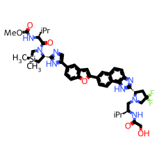 COC(=O)N[C@H](C(=O)N1C[Si](C)(C)C[C@H]1c1ncc(-c2ccc3oc(-c4ccc5c(ccc6nc([C@@H]7CC(F)(F)CN7C[C@@H](NC(=O)CO)C(C)C)[nH]c65)c4)cc3c2)[nH]1)C(C)C